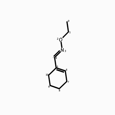 CCO/N=[C]/C1=CCCCC1